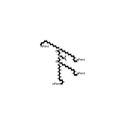 CCCCC/C=C\C/C=C\CCCCCCCCN(CCCCCCCC/C=C\C/C=C\CCCCC)C(=O)CCN(CCC(=O)N(CCCCCCCC/C=C\C/C=C\CCCCC)CCCCCCCC/C=C\C/C=C\CCCCC)CCN(C)C